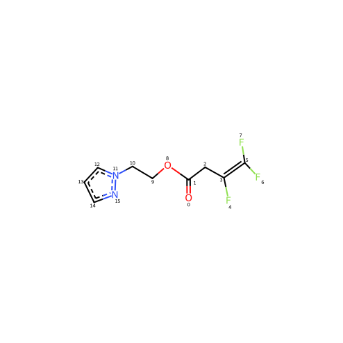 O=C(CC(F)=C(F)F)OCCn1cccn1